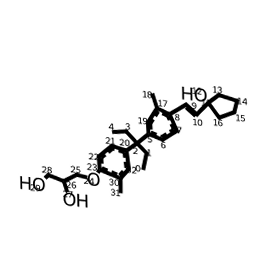 CCC(CC)(c1ccc(C=CC2(O)CCCC2)c(C)c1)c1ccc(OCC(O)CO)c(C)c1